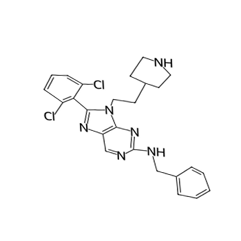 Clc1cccc(Cl)c1-c1nc2cnc(NCc3ccccc3)nc2n1CCC1CCNCC1